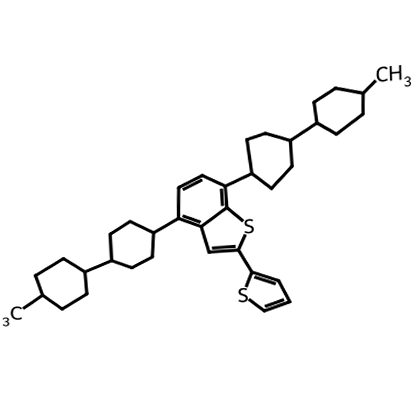 CC1CCC(C2CCC(c3ccc(C4CCC(C5CCC(C)CC5)CC4)c4sc(-c5cccs5)cc34)CC2)CC1